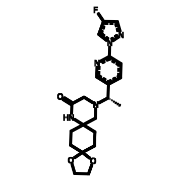 C[C@@H](c1ccc(-n2cc(F)cn2)nc1)N1CC(=O)NC2(CCC3(CC2)OCCO3)C1